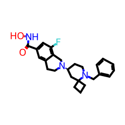 O=C(NO)c1cc(F)c2c(c1)CCN([C@@H]1CCN(Cc3ccccc3)C3(CCC3)C1)C2